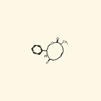 CN1CC=CCCC(=O)NC(c2ccccc2)COC1=O